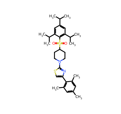 Cc1cc(C)c(-c2csc(N3CCC(S(=O)(=O)c4c(C(C)C)cc(C(C)C)cc4C(C)C)CC3)n2)c(C)c1